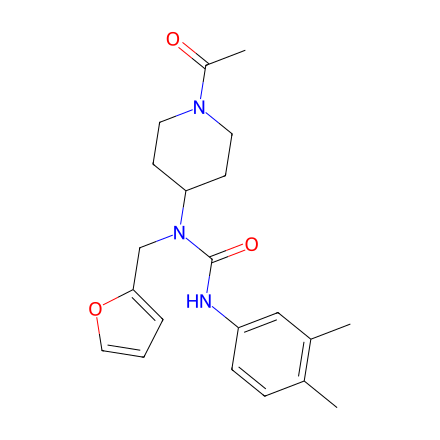 CC(=O)N1CCC(N(Cc2ccco2)C(=O)Nc2ccc(C)c(C)c2)CC1